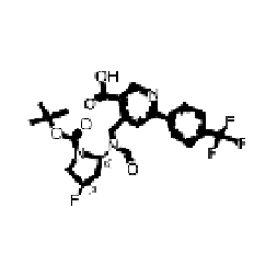 CC(C)(C)OC(=O)N1C[C@H](F)C[C@H]1N(C=O)Cc1cc(-c2ccc(C(F)(F)F)cc2)ncc1C(=O)O